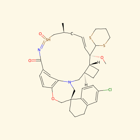 CO[C@@]1(C2SCCCS2)/C=C/C[C@H](C)C/[SH](=O)=N\C(=O)c2ccc3c(c2)N(C[C@@H]2CC[C@H]21)C[C@@]1(CCCc2cc(Cl)ccc21)CO3